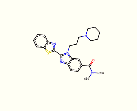 CCCCN(CCCC)C(=O)c1ccc2nc(-c3nc4ccccc4s3)n(CCCN3CCCCC3)c2c1